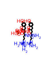 NC(N)=NCCCC(N)C(=O)CC(Cc1ccc(O)cc1)C(=O)O.NC(N)=NCCCC(N)C(=O)CC(Cc1ccc(O)cc1)C(=O)O.O=S(=O)(O)O